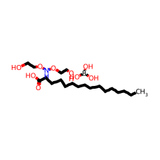 CCCCCCCCCCCCCCCC(=O)O.OB(O)O.OCCONOCCO